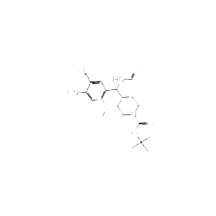 COc1cc(N)c(Cl)cc1C(NC=O)C1CCN(C(=O)OC(C)(C)C)CC1